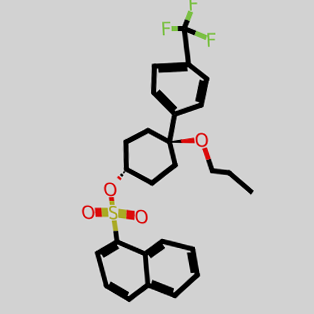 CCCO[C@]1(c2ccc(C(F)(F)F)cc2)CC[C@@H](OS(=O)(=O)c2cccc3ccccc23)CC1